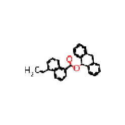 C=Cc1cccc2c(C(=O)OC3c4ccccc4Cc4ccccc43)cccc12